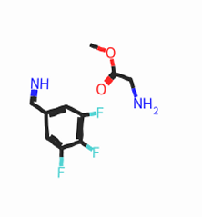 COC(=O)CN.N=Cc1cc(F)c(F)c(F)c1